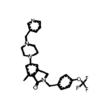 Cc1cc(N2CCN(Cc3cccnc3)CC2)cc2c1C(=O)N(Cc1ccc(OC(F)(F)F)cc1)C2